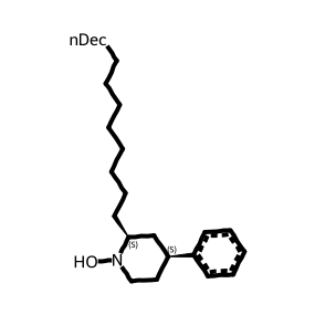 CCCCCCCCCCCCCCCCCC[C@H]1C[C@@H](c2ccccc2)CCN1O